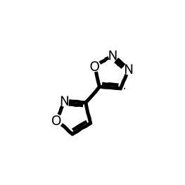 [c]1nnoc1-c1ccon1